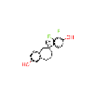 CCC1(c2ccc(O)c(F)c2F)CCCc2cc(O)ccc2C1